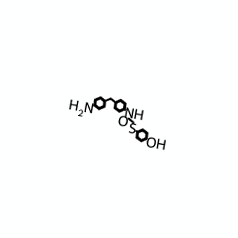 Nc1ccc(Cc2ccc(NC(=O)CSc3ccc(O)cc3)cc2)cc1